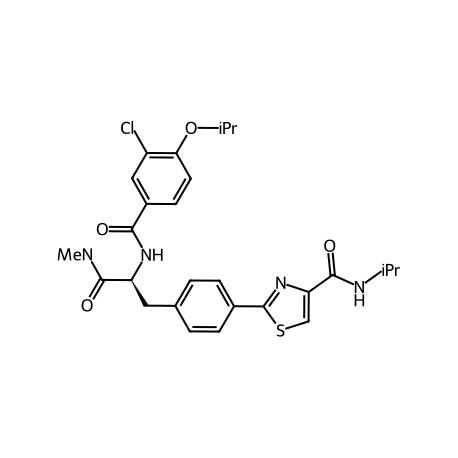 CNC(=O)[C@H](Cc1ccc(-c2nc(C(=O)NC(C)C)cs2)cc1)NC(=O)c1ccc(OC(C)C)c(Cl)c1